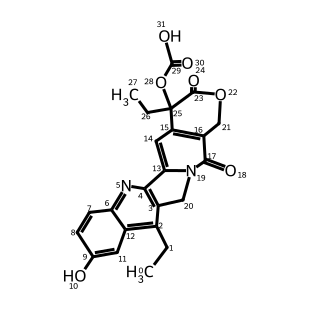 CCc1c2c(nc3ccc(O)cc13)-c1cc3c(c(=O)n1C2)COC(=O)C3(CC)OC(=O)O